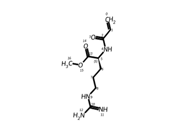 C=CC(=O)N[C@@H](CCCNC(=N)N)C(=O)OC